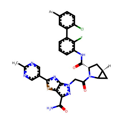 CC(=O)c1ccc(Cl)c(-c2cccc(NC(=O)[C@@H]3C[C@H]4CC4N3C(=O)Cn3nc(C(N)=O)c4sc(-c5cnc(C)nc5)nc43)c2F)c1